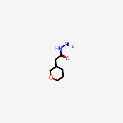 NNC(=O)CC1CCCOC1